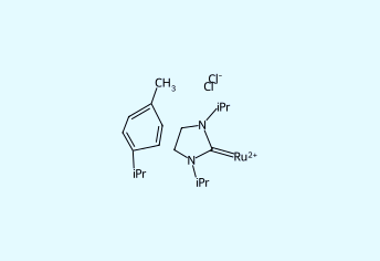 CC(C)N1CCN(C(C)C)[C]1=[Ru+2].Cc1ccc(C(C)C)cc1.[Cl-].[Cl-]